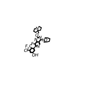 Oc1cc(Cl)c(C(F)(F)F)c(-c2ncc3c(N4CC5CCC(C4)O5)nc(OCC45CCCN4CCC5)nc3c2F)c1